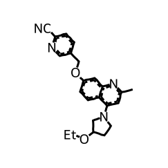 CCOC1CCN(c2cc(C)nc3cc(OCc4ccc(C#N)nc4)ccc23)C1